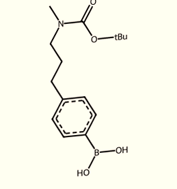 CN(CCCc1ccc(B(O)O)cc1)C(=O)OC(C)(C)C